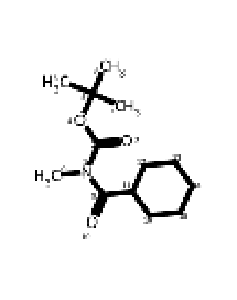 CN(C(=O)OC(C)(C)C)C(=O)C1CCCCC1